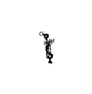 O=S(=O)(NCc1cccc(Cl)c1)c1cnn(Cc2cn3cc(C4CC4)ccc3n2)c1